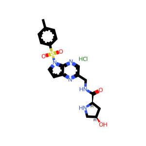 Cc1ccc(S(=O)(=O)n2ccc3nc(CNC(=O)[C@H]4C[C@@H](O)CN4)cnc32)cc1.Cl